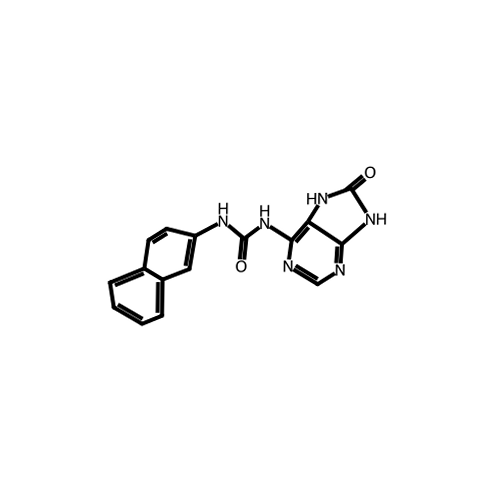 O=C(Nc1ccc2ccccc2c1)Nc1ncnc2[nH]c(=O)[nH]c12